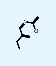 C=C(/C=N\C(=C)Cl)CC